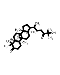 CC(CCC(=O)C(C)(C)O)C1CC[C@@]2(C)C34CC[C@H]5C(C)(C)C(=O)CC[C@]5(C)C3(CC[C@]12C)O4